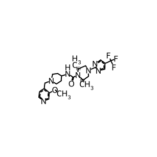 COc1cnccc1CN1CCC(NC(=O)N2[C@H](C)CN(c3ncc(C(F)(F)F)cn3)C[C@@H]2C)CC1